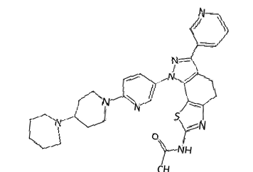 CC(=O)Nc1nc2c(s1)-c1c(c(-c3cccnc3)nn1-c1ccc(N3CCC(N4CCCCC4)CC3)nc1)CC2